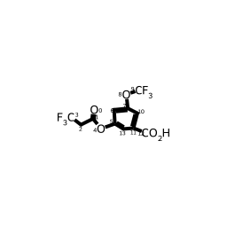 O=C(CC(F)(F)F)Oc1cc(OC(F)(F)F)cc(C(=O)O)c1